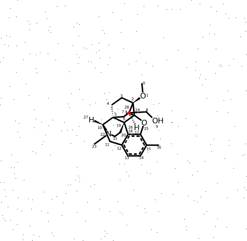 CO[C@]12CC[C@@]3(C[C@@H]1CO)[C@H]1Cc4ccc(C)c5c4[C@@]3(CCN1C)[C@H]2O5